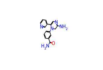 NC(=O)c1cccc(N2CC(N)=NC=C2c2cccnc2)c1